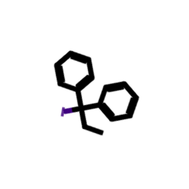 CCC(I)(c1ccccc1)c1ccccc1